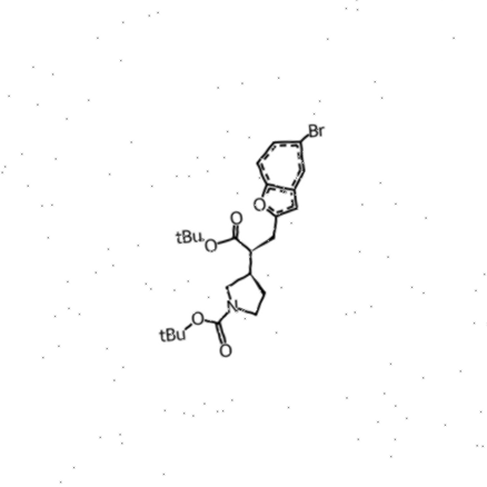 CC(C)(C)OC(=O)[C@@H](Cc1cc2cc(Br)ccc2o1)[C@H]1CCN(C(=O)OC(C)(C)C)C1